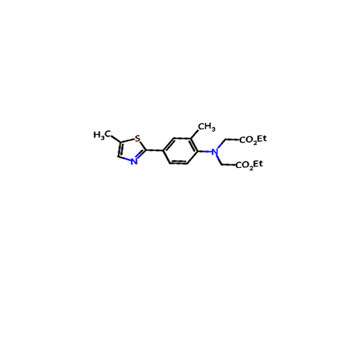 CCOC(=O)CN(CC(=O)OCC)c1ccc(-c2ncc(C)s2)cc1C